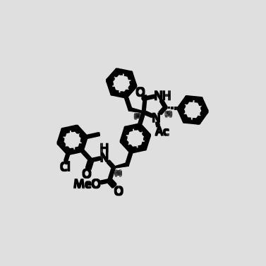 COC(=O)[C@H](Cc1ccc([C@]2(Cc3ccccc3)C(=O)N[C@H](c3ccccc3)N2C(C)=O)cc1)NC(=O)c1c(C)cccc1Cl